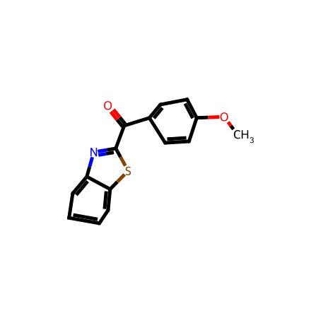 COc1ccc(C(=O)c2nc3ccccc3s2)cc1